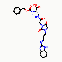 O=C(CN1C(=O)CN(CCCNC2=NC3CCCCC3N2)C1=O)NC[C@H](NC(=O)OCc1ccccc1)C(=O)O